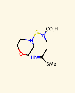 CN(SN1CCOCC1)C(=O)O.CSC(C)=N